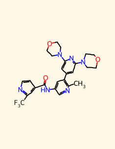 Cc1ncc(NC(=O)c2ccnc(C(F)(F)F)c2)cc1-c1cc(N2CCOCC2)nc(N2CCOCC2)c1